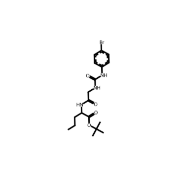 CCCC(NC(=O)CNC(=O)Nc1ccc(Br)cc1)C(=O)OC(C)(C)C